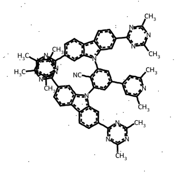 Cc1cc(-c2cc(-n3c4cc(-c5nc(C)nc(C)n5)ccc4c4ccc(-c5nc(C)nc(C)n5)cc43)c(C#N)c(-n3c4cc(-c5nc(C)nc(C)n5)ccc4c4ccc(-c5nc(C)nc(C)n5)cc43)c2)cc(C)n1